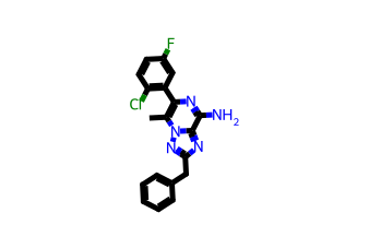 Cc1c(-c2cc(F)ccc2Cl)nc(N)c2nc(Cc3ccccc3)nn12